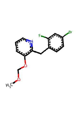 COCOc1cccnc1Cc1ccc(Br)cc1F